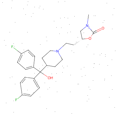 CN1C[C@@H](CCN2CCC(C(O)(c3ccc(F)cc3)c3ccc(F)cc3)CC2)OC1=O